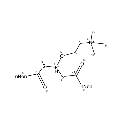 CCCCCCCCCC(=O)S[PH-](OCC[N+](C)(C)C)SC(=O)CCCCCCCCC